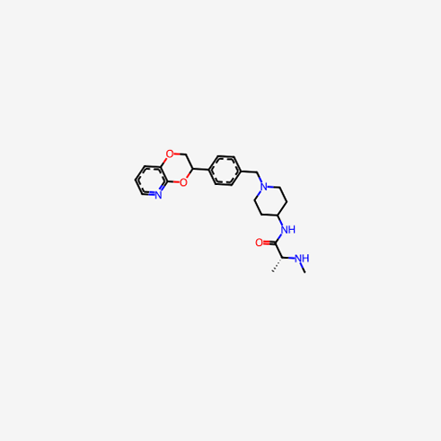 CN[C@H](C)C(=O)NC1CCN(Cc2ccc(C3COc4cccnc4O3)cc2)CC1